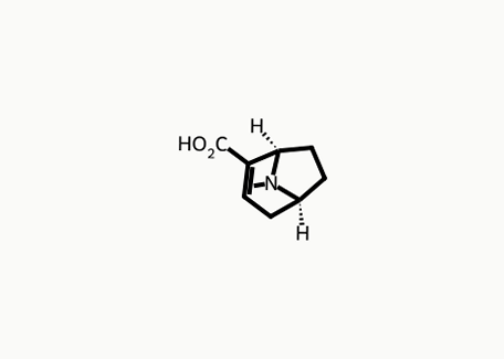 CN1[C@@H]2CC=C(C(=O)O)[C@H]1CC2